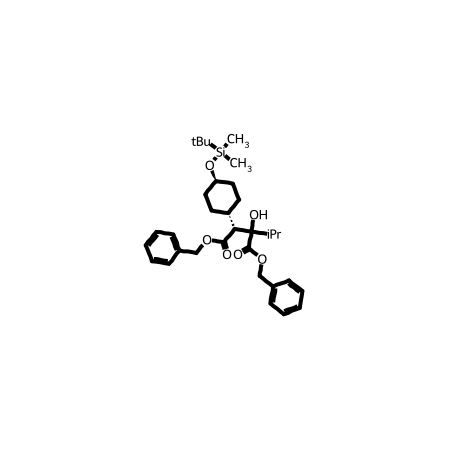 CC(C)C(O)(C(=O)OCc1ccccc1)C(C(=O)OCc1ccccc1)[C@H]1CC[C@H](O[Si](C)(C)C(C)(C)C)CC1